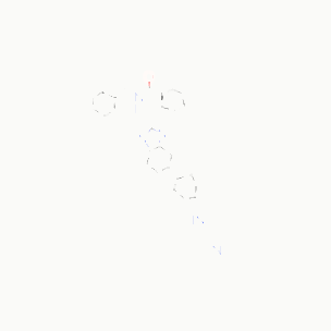 NCCNCc1ccc(-c2ccc3ncn(Cc4cccc(C(=O)NC5CCCc6ccccc65)c4)c3c2)cc1